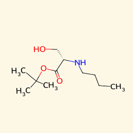 CCCCN[C@@H](CO)C(=O)OC(C)(C)C